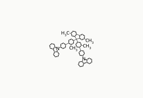 Cc1ccc2c(c1)C(c1ccc(-c3ccc(-n4c5ccccc5c5ccccc54)cc3)c(C)c1)(c1ccc(-c3ccc(-n4c5ccccc5c5ccccc54)cc3)c(C)c1)c1cc(C)ccc1-2